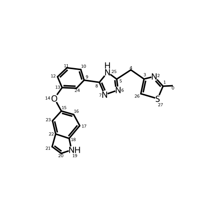 Cc1nc(Cc2nnc(-c3cccc(Oc4ccc5[nH]ccc5c4)c3)[nH]2)cs1